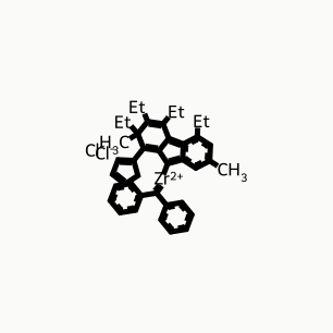 CCC1=C(CC)C(C)(CC)C(C2=CC=CC2)=C2[C]([Zr+2]=[C](c3ccccc3)c3ccccc3)=c3cc(C)cc(CC)c3=C12.[Cl-].[Cl-]